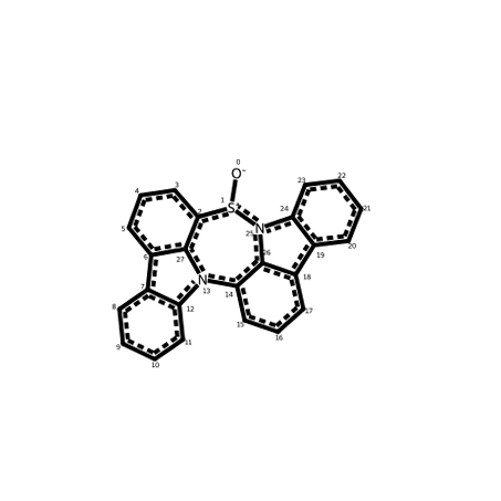 [O-][s+]1c2cccc3c4ccccc4n(c4cccc5c6ccccc6n1c54)c32